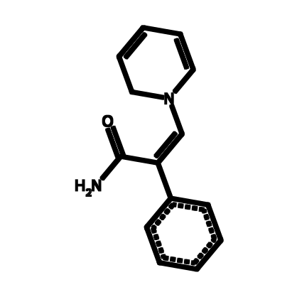 NC(=O)C(=CN1C=CC=CC1)c1ccccc1